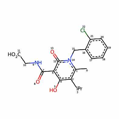 Cc1c(C(C)C)c(O)c(C(=O)NCC(=O)O)c(=O)n1Cc1ccccc1Cl